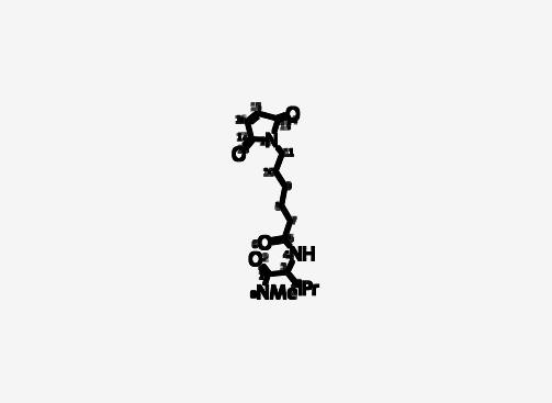 CNC(=O)C(NC(=O)CCCCCN1C(=O)C=CC1=O)C(C)C